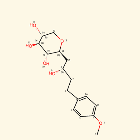 COc1ccc(CC[C@H](O)C[C@@H]2OC[C@@H](O)[C@H](O)[C@H]2O)cc1